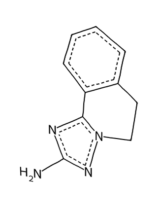 Nc1nc2n(n1)CCc1ccccc1-2